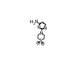 Nc1ccnc(N2CCS(=O)(=O)CC2)n1